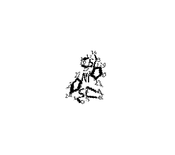 CC[Si](CC)(CC)C1=[C]([Ni][C]2=C([Si](CC)(CC)CC)C=CC2)CC=C1